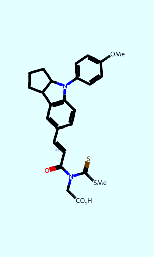 COc1ccc(N2c3ccc(/C=C/C(=O)N(CC(=O)O)C(=S)SC)cc3C3CCCC32)cc1